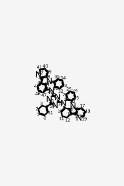 C1=CCCC(c2nc(N3C4=CCCc5c4n(c4cccnc54)-c4ccccc43)nc(N3c4ccccc4-n4c5cccnc5c5cccc3c54)n2)=C1